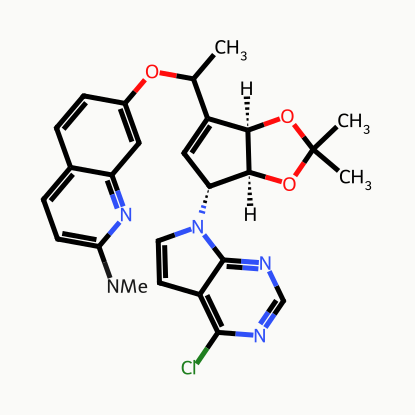 CNc1ccc2ccc(OC(C)C3=C[C@@H](n4ccc5c(Cl)ncnc54)[C@@H]4OC(C)(C)O[C@H]34)cc2n1